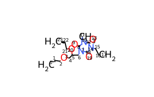 C=CCOCC(Cn1c(=O)n(C)c(=O)n(CC=C)c1=O)OCC=C